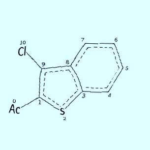 [CH2]C(=O)c1sc2ccccc2c1Cl